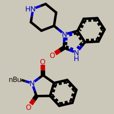 CCCCN1C(=O)c2ccccc2C1=O.O=c1[nH]c2ccccc2n1C1CCNCC1